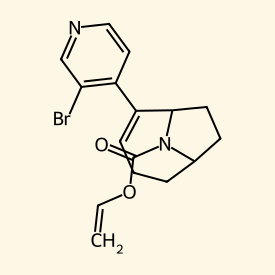 C=COC(=O)N1C2CCC=C(c3ccncc3Br)C1CC2